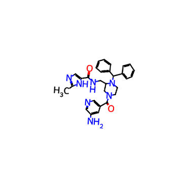 Cc1ncc(C(=O)NCC2CN(C(=O)c3cncc(N)c3)CCN2C(c2ccccc2)c2ccccc2)[nH]1